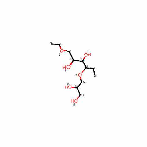 [CH2]COCC(O)C(O)C(CC)OCC(O)CO